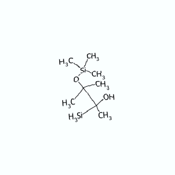 CC(O)([SiH3])C(C)(C)O[Si](C)(C)C